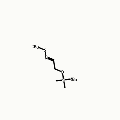 CC(C)(C)SN=CCO[Si](C)(C)C(C)(C)C